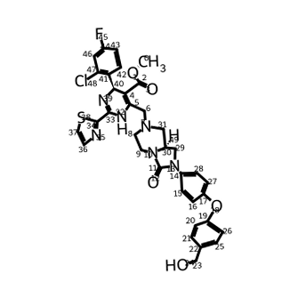 COC(=O)C1=C(CN2CCN3C(=O)N(c4ccc(Oc5ccc(CO)cc5)cc4)C[C@@H]3C2)NC(c2nccs2)=N[C@H]1c1ccc(F)cc1Cl